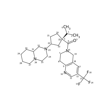 CC(C)[C@]1(C(=O)N2CCc3ncc(C(F)(F)F)cc3C2)CCC(N2CCN3CCCCC3C2)C1